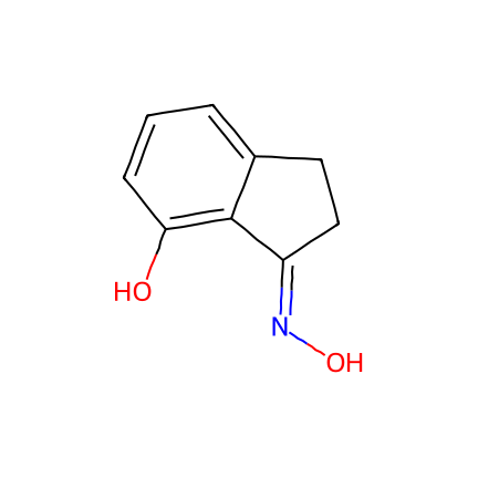 ON=C1CCc2cccc(O)c21